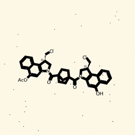 CC(=O)Oc1cc2c(c3ccccc13)[C@H](CCl)CN2C(=O)C12CCC(C(=O)N3C[C@@H](CCl)c4c3cc(O)c3ccccc43)(CC1)C2